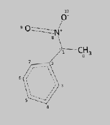 C[C](c1ccccc1)[N+](=O)[O-]